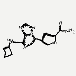 NC(=O)C1=CC(c2cnc(NC3CCC3)c3ncnn23)CO1